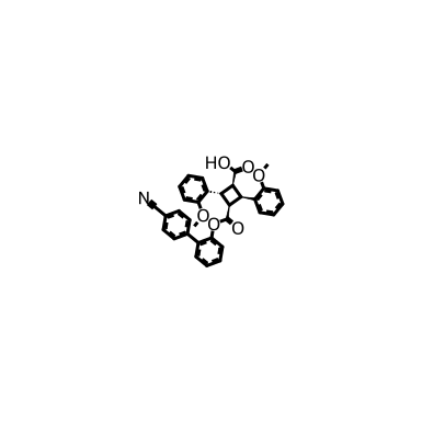 COc1ccccc1[C@@H]1[C@H](C(=O)O)[C@@H](c2ccccc2OC)[C@@H]1C(=O)Oc1ccccc1-c1ccc(C#N)cc1